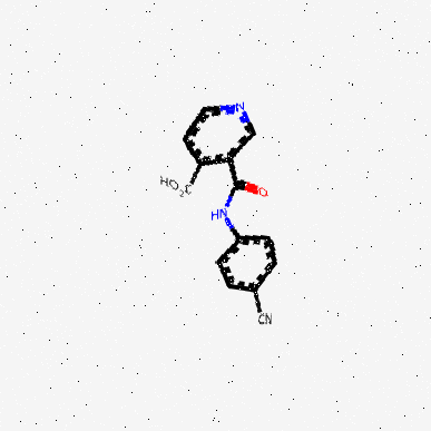 N#Cc1ccc(NC(=O)c2cnccc2C(=O)O)cc1